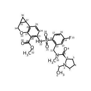 CCN1CCC[C@@H]1C(=O)N(C)Cc1cc(F)ccc1S(=O)(=O)Nc1ccc2c(c1C(=O)OC)OCC1CC21